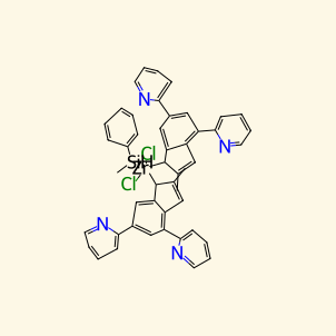 CC1=Cc2c(-c3ccccn3)cc(-c3ccccn3)cc2[CH]1[Zr]([Cl])([Cl])([CH]1C(C)=Cc2c(-c3ccccn3)cc(-c3ccccn3)cc21)[SiH](C)c1ccccc1